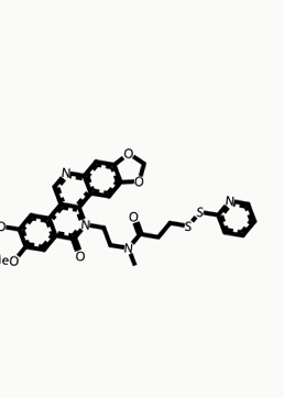 COc1cc2c(=O)n(CCN(C)C(=O)CCSSc3ccccn3)c3c4cc5c(cc4ncc3c2cc1OC)OCO5